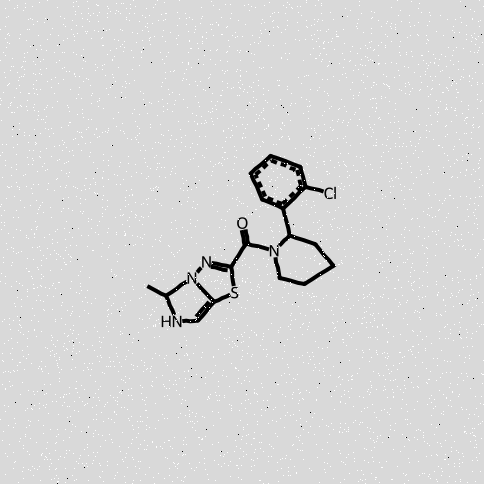 CC1NC=C2SC(C(=O)N3CCCCC3c3ccccc3Cl)=NN21